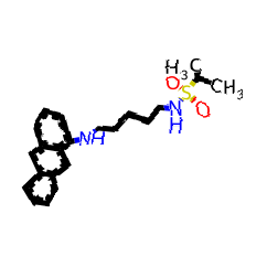 CC(C)S(=O)(=O)NCCCCCNc1cccc2cc3ccccc3cc12